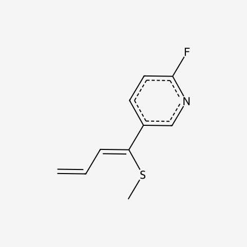 C=C/C=C(\SC)c1ccc(F)nc1